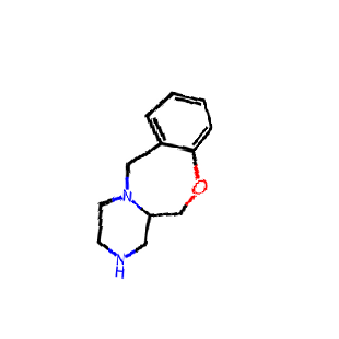 c1ccc2c(c1)CN1CCNCC1CO2